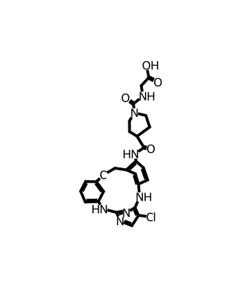 O=C(O)CNC(=O)N1CCC(C(=O)Nc2ccc3cc2CCc2cccc(c2)Nc2ncc(Cl)c(n2)N3)CC1